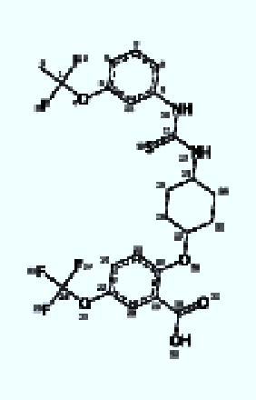 CC(F)(F)Oc1cccc(NC(=S)NC2CCC(Oc3ccc(OC(F)(F)F)cc3C(=O)O)CC2)c1